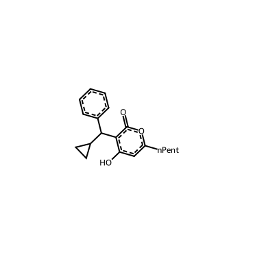 CCCCCc1cc(O)c(C(c2ccccc2)C2CC2)c(=O)o1